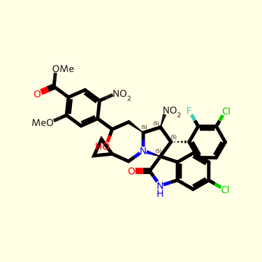 COC(=O)c1cc([N+](=O)[O-])c(C(O)C[C@H]2[C@@H]([N+](=O)[O-])[C@H](c3cccc(Cl)c3F)[C@]3(C(=O)Nc4cc(Cl)ccc43)N2CC2CC2)cc1OC